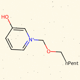 CCCCCCOC[n+]1cccc(O)c1